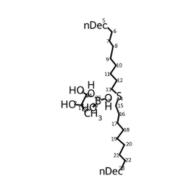 CC(O)CO.CCCCCCCCCCCCCCCCCCSCCCCCCCCCCCCCCCCCC.OB(O)O